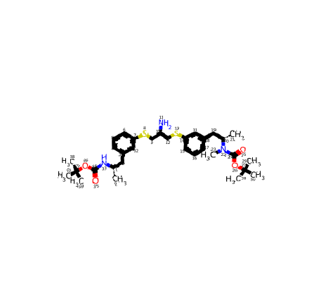 C[C@@H](Cc1cccc(SCC(N)CSc2cccc(C[C@H](C)N(C)C(=O)OC(C)(C)C)c2)c1)NC(=O)OC(C)(C)C